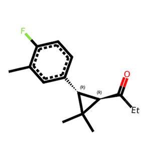 CCC(=O)[C@@H]1[C@@H](c2ccc(F)c(C)c2)C1(C)C